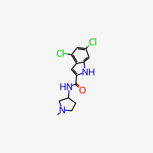 CN1CCC(NC(=O)c2cc3c(Cl)cc(Cl)cc3[nH]2)C1